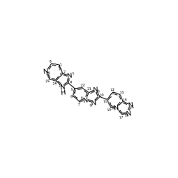 c1cc2nc(-c3ccn4nc(-c5ccc6nncn6c5)nc4c3)[nH]c2cn1